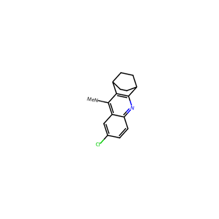 CNc1c2c(nc3ccc(Cl)cc13)C1CCC2CC1